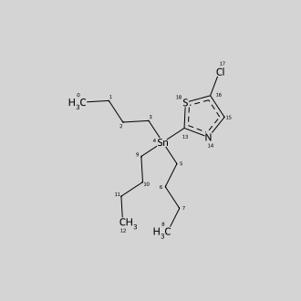 CCC[CH2][Sn]([CH2]CCC)([CH2]CCC)[c]1ncc(Cl)s1